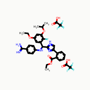 CCOC(=O)c1ccccc1-c1c[nH]c(C(Nc2ccc(C(=N)N)cc2)c2cc(OCC)cc(OC(C)C)c2F)n1.O=C(O)C(F)(F)F.O=C(O)C(F)(F)F